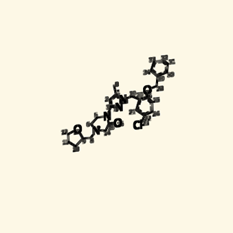 Cc1cc(N2CCN(CC3CCCO3)CC2=O)nn1Cc1cc(Cl)ccc1OCc1ccccc1